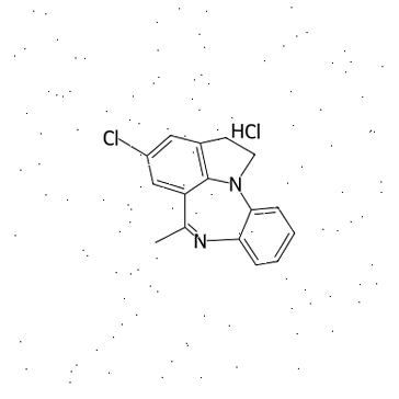 CC1=Nc2ccccc2N2CCc3cc(Cl)cc1c32.Cl